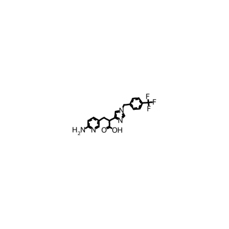 Nc1ccc(CC(C(=O)O)c2cn(Cc3ccc(C(F)(F)F)cc3)cn2)cn1